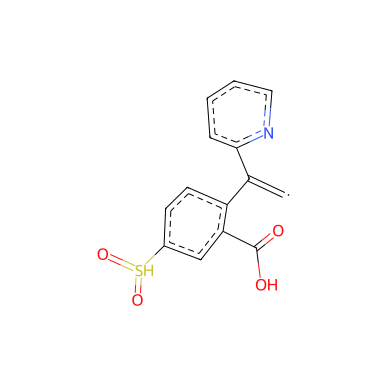 [CH]=C(c1ccccn1)c1ccc([SH](=O)=O)cc1C(=O)O